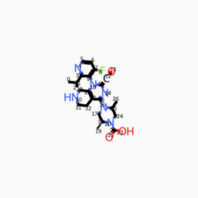 CC(C)c1nccc(F)c1N1C(=C=O)N=C(N2C[C@H](C)N(C(=O)O)CC2C)C2=C1CNCC2